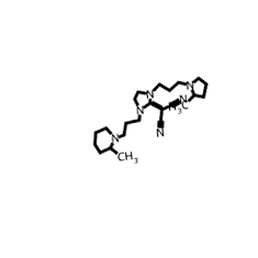 CC1CCCCN1CCCN1CCN(CCCN2CCCC2C)C1=C(C#N)C#N